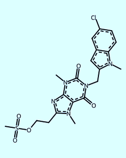 Cn1c(Cn2c(=O)c3c(nc(CCOS(C)(=O)=O)n3C)n(C)c2=O)cc2cc(Cl)ccc21